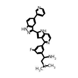 CN(C)CC(N)c1cc(F)cc(-c2nccc3[nH]c(-c4n[nH]c5ccc(-c6cccnc6)cc45)cc23)c1